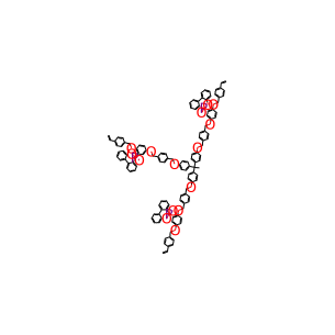 C=Cc1ccc(COc2ccc(OCc3ccc(COc4ccc(C(C)(c5ccc(OCc6ccc(COc7ccc(OCc8ccc(C=C)cc8)c(P8(=O)Oc9ccccc9-c9ccccc98)c7)cc6)cc5)c5ccc(OCc6ccc(COc7ccc(OCc8ccc(C=C)cc8)c(P8(=O)Oc9ccccc9-c9ccccc98)c7)cc6)cc5)cc4)cc3)c(P3(=O)Oc4ccccc4-c4ccccc43)c2)cc1